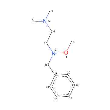 CON(CCN(C)C)Cc1ccccc1